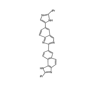 CC(C)c1ncc(-c2ccc3nc(-c4ccc5c(ccc6nc(C(C)C)[nH]c65)c4)ncc3c2)[nH]1